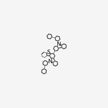 C1=Cc2sc3c(-c4ccc5c(c4)c4ccccc4n5-c4cccc(-c5ccccc5)c4)cc4c5ccccc5n(-c5cccc(-c6ccccc6)c5)c4c3c2CC1